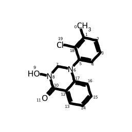 Cc1cccc(N2CN(O)C(=O)c3ccccc32)c1Cl